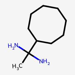 CC(N)(N)C1CCCCCCC1